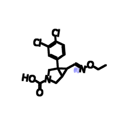 CCO/N=C/C1C2CN(C(=O)O)CC12c1ccc(Cl)c(Cl)c1